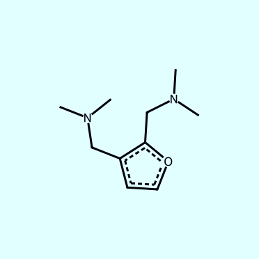 CN(C)Cc1ccoc1CN(C)C